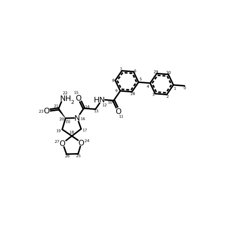 Cc1ccc(-c2cccc(C(=O)NCC(=O)N3CC4(C[C@H]3C(N)=O)OCCO4)c2)cc1